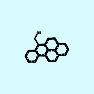 OCc1c2ccccc2c2ccc3cccc4ccc1c2c43